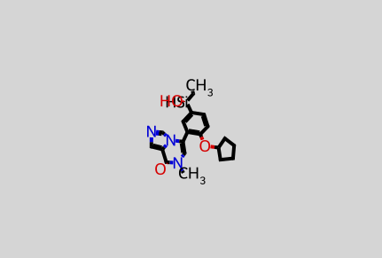 CC[Si@@H](O)c1ccc(OC2CCCC2)c(-c2cn(C)c(=O)c3cncn23)c1